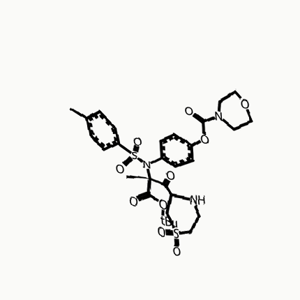 Cc1ccc(S(=O)(=O)N(c2ccc(OC(=O)N3CCOCC3)cc2)[C@@](C)(C(=O)OC(C)(C)C)C(=O)C2CS(=O)(=O)CCN2)cc1